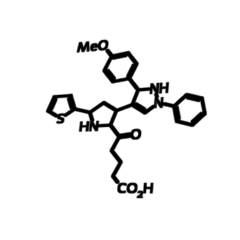 COc1ccc(C2NN(c3ccccc3)C=C2C2CC(c3cccs3)NC2C(=O)CCCC(=O)O)cc1